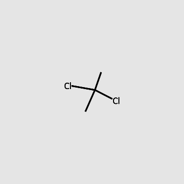 CC(C)(Cl)Cl